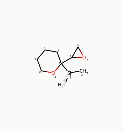 C[SiH](C)C1(C2CO2)CCCCO1